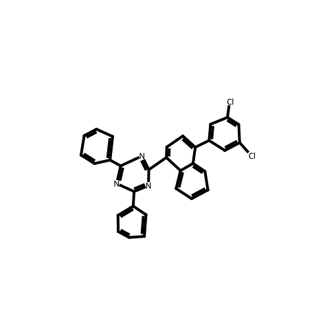 Clc1cc(Cl)cc(-c2ccc(-c3nc(-c4ccccc4)nc(-c4ccccc4)n3)c3ccccc23)c1